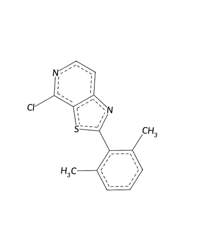 Cc1cccc(C)c1-c1nc2ccnc(Cl)c2s1